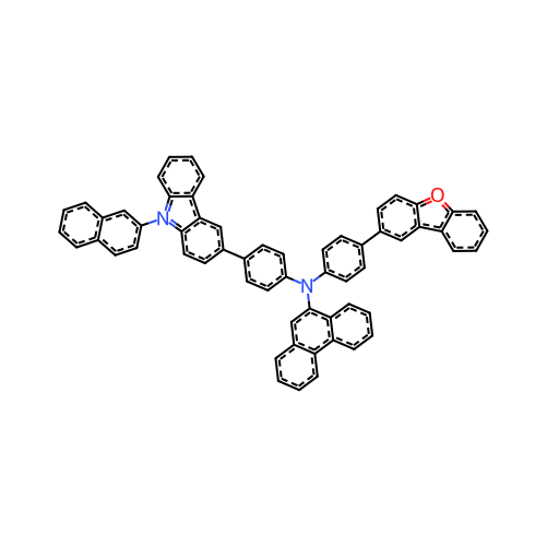 c1ccc2cc(-n3c4ccccc4c4cc(-c5ccc(N(c6ccc(-c7ccc8oc9ccccc9c8c7)cc6)c6cc7ccccc7c7ccccc67)cc5)ccc43)ccc2c1